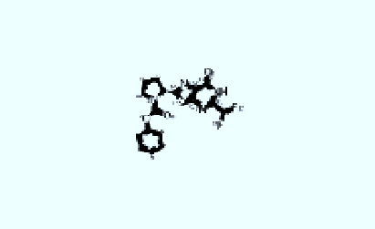 O=C(Oc1ccccc1)N1CCC[C@@H]1c1nc2c(=O)[nH]c(C(F)F)nc2s1